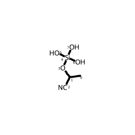 CC(C#N)O[Si](O)(O)O